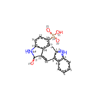 Cc1[nH]c2ccccc2c1C=C1C(=O)Nc2ccc(S(=O)(=O)O)cc21